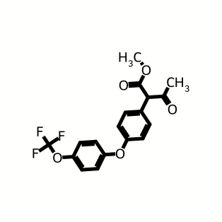 COC(=O)C(C(C)=O)c1ccc(Oc2ccc(OC(F)(F)F)cc2)cc1